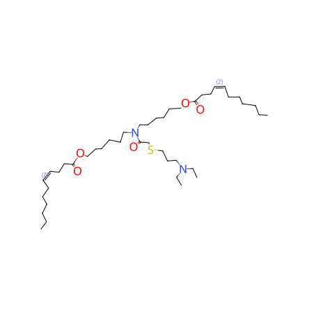 CCCCCC/C=C\CCC(=O)OCCCCCCN(CCCCCCOC(=O)CC/C=C\CCCCCC)C(=O)CSCCCN(CC)CC